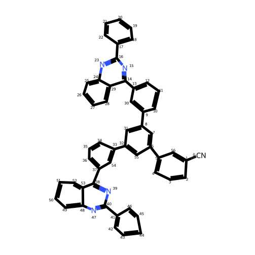 N#Cc1cccc(-c2cc(-c3cccc(-c4nc(-c5ccccc5)nc5ccccc45)c3)cc(-c3cccc(-c4nc(-c5ccccc5)nc5ccccc45)c3)c2)c1